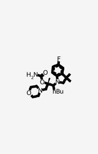 CCCCC(N1CC(C)(C)c2cc(F)ccc21)[C@](C)(CN1CCOCC1)OC(N)=O